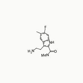 CNC(=O)c1[nH]c2cc(F)c(C)cc2c1CCN